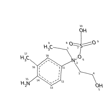 CC[N+](CCO)(OS(=O)(=O)O)c1ccc(N)c(C)c1